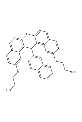 OCCOc1ccc2ccc3c(c2c1)C(c1ccc2ccccc2c1)c1c(ccc2ccc(OCCO)cc12)O3